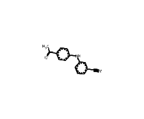 CC(=O)c1ccc(Nc2cccc(C#N)c2)cc1